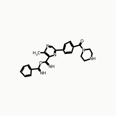 Cc1ncc(-c2ccc(C(=O)N3CCNCC3)cc2)nc1C(=N)OC(=N)c1ccccc1